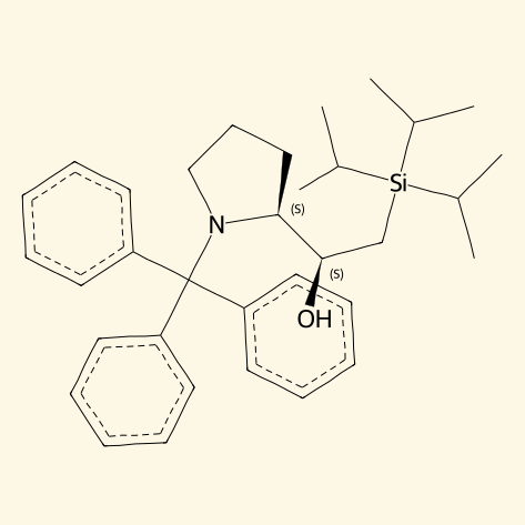 CC(C)[Si](C[C@@H](O)[C@@H]1CCCN1C(c1ccccc1)(c1ccccc1)c1ccccc1)(C(C)C)C(C)C